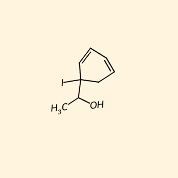 CC(O)C1(I)C=CC=CC1